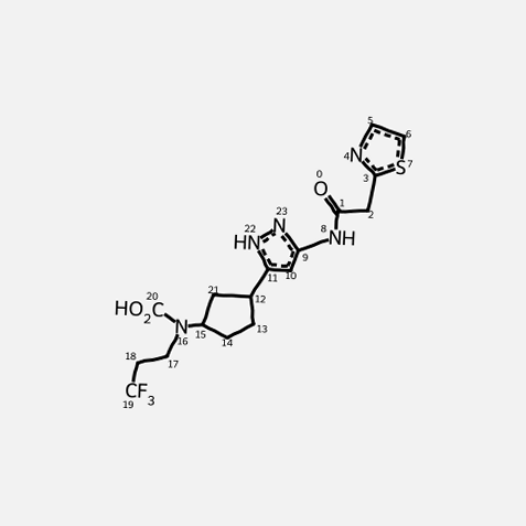 O=C(Cc1nccs1)Nc1cc(C2CCC(N(CCC(F)(F)F)C(=O)O)C2)[nH]n1